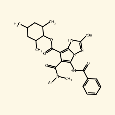 CC(=O)N(C)C(=O)c1c(C(=O)OC2C(C)CC(C)CC2C)c2[nH]c(C(C)(C)C)nn2c1NC(=O)c1ccccc1